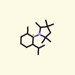 CC(C)C1CCCC(C)[C@H]1N1C(C)C(C)(C)CC1(C)C